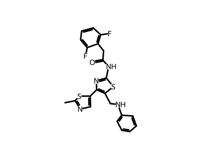 Cc1ncc(-c2nc(NC(=O)Cc3c(F)cccc3F)sc2CNc2ccccc2)s1